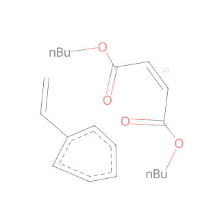 C=Cc1ccccc1.CCCCOC(=O)/C=C\C(=O)OCCCC